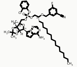 CCCCCCCCCCCCCCC[C@H](COP(=O)(OC[C@@]1(C)O[C@@H](c2ccc3c(N)ncnn23)[C@@H]2OC(C)(C)O[C@@H]21)Oc1ccccc1Cl)OCc1cc(F)cc(C#N)c1